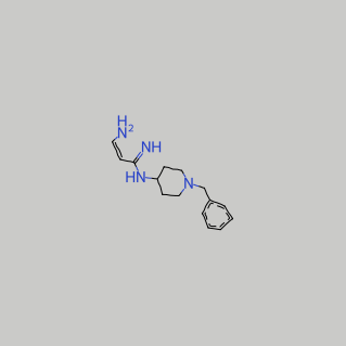 N=C(/C=C\N)NC1CCN(Cc2ccccc2)CC1